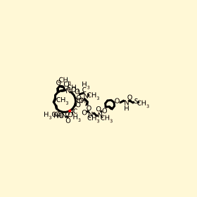 COc1cc2cc(c1Cl)N(C)C(=O)C[C@H](OC(=O)[C@H](C)N(C)C(=O)CCOC(=O)N(C)CCN(C)C(=O)OC1/C=C/CC(OCCNC(=O)CSC)CCC1)[C@]1(C)OC1[C@H](C)[C@@H]1C[C@@](O)(NC(=O)O1)[C@H](OC)/C=C/C=C(\C)C2